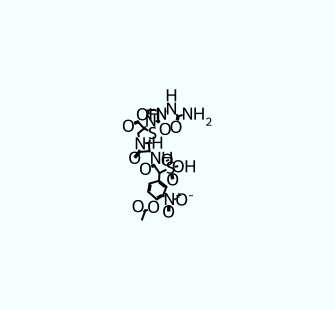 CC(=O)Oc1ccc(C(C(=O)N[C@@H]2C(=O)N3C[C@@](C(=O)O)(N4CCN(NC(N)=O)C4=O)S[C@H]23)S(=O)(=O)O)cc1[N+](=O)[O-]